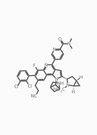 CN(C)C(=O)c1ccc(-c2nc3c(F)c(-c4cccc(Cl)c4Cl)c(CCC#N)cc3c3c2cc([C@H]2C[C@@H]4C[C@H]4N2C(=O)O)n3C2C3CNC2C3)cn1